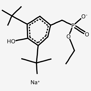 CCOP(=O)([O-])Cc1cc(C(C)(C)C)c(O)c(C(C)(C)C)c1.[Na+]